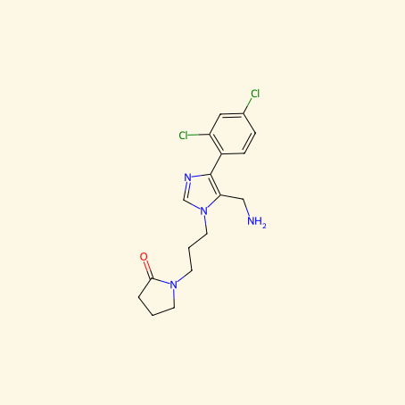 NCc1c(-c2ccc(Cl)cc2Cl)ncn1CCCN1CCCC1=O